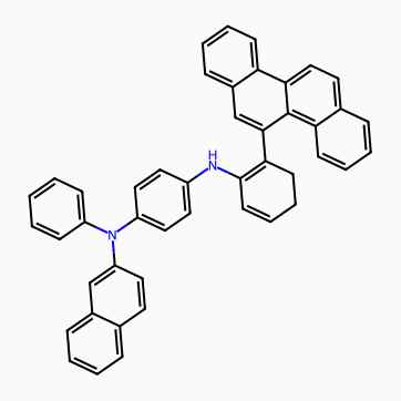 C1=CC(Nc2ccc(N(c3ccccc3)c3ccc4ccccc4c3)cc2)=C(c2cc3ccccc3c3ccc4ccccc4c23)CC1